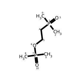 CP(C)(=O)CCOP(C)(C)=O